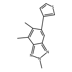 Cc1c(-c2ccsc2)cc2nn(C)nc2c1C